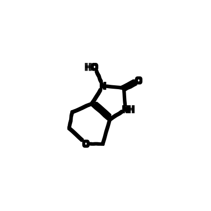 O=c1[nH]c2c(n1O)CCOC2